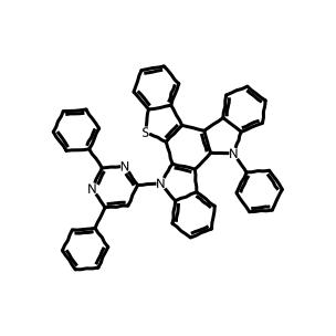 c1ccc(-c2cc(-n3c4ccccc4c4c3c3sc5ccccc5c3c3c5ccccc5n(-c5ccccc5)c34)nc(-c3ccccc3)n2)cc1